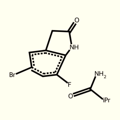 CC(C)C(N)=O.O=C1Cc2cc(Br)cc(F)c2N1